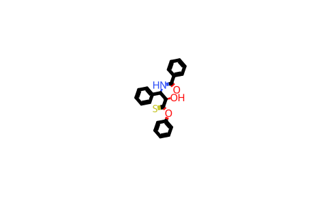 O=C(N[C@H](c1ccccc1)[C@@H](O)C(=S)Oc1ccccc1)c1ccccc1